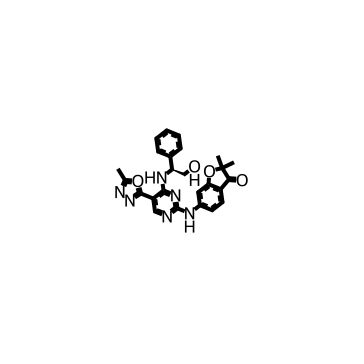 Cc1nnc(-c2cnc(Nc3ccc4c(c3)OC(C)(C)C4=O)nc2N[C@H](CO)c2ccccc2)o1